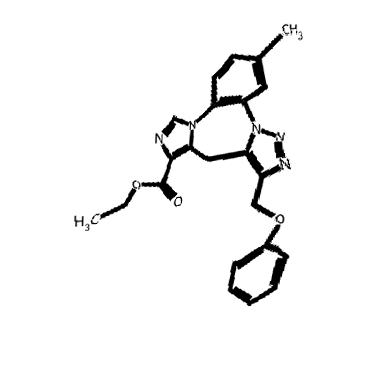 CCOC(=O)c1ncn2c1Cc1c(COc3ccccc3)nnn1-c1cc(C)ccc1-2